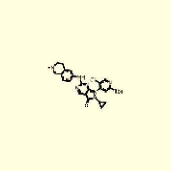 CC(C)(C)c1cc(-n2c3nc(Nc4ccc5c(c4)CCNC5)ncc3c(=O)n2C2CC2)c(Cl)cn1